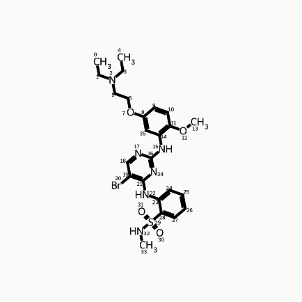 CCN(CC)CCOc1ccc(OC)c(Nc2ncc(Br)c(Nc3ccccc3S(=O)(=O)NC)n2)c1